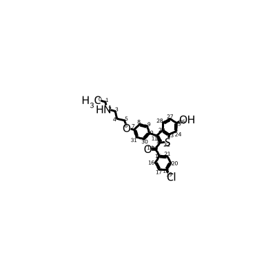 CCNCCCOc1ccc(-c2c(C(=O)c3ccc(Cl)cc3)sc3cc(O)ccc23)cc1